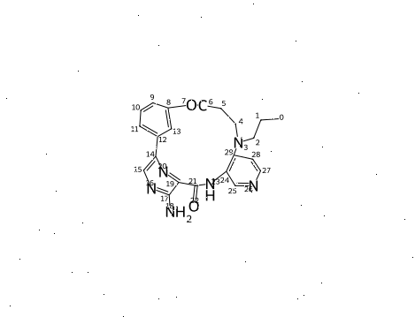 CCCN1CCCOc2cccc(c2)-c2cnc(N)c(n2)C(=O)Nc2cnccc21